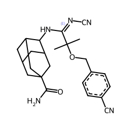 CC(C)(OCc1ccc(C#N)cc1)/C(=N\C#N)NC1C2CC3CC1CC(C(N)=O)(C3)C2